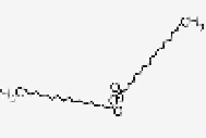 CCCCCCCCCCCCCCCCCC(=O)OOC(=O)CCCCCCCCCCCCCCCCC